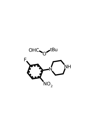 CC(C)(C)OC=O.O=[N+]([O-])c1ccc(F)cc1N1CCNCC1